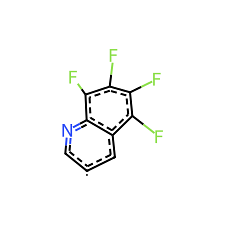 Fc1c(F)c(F)c2nc[c]cc2c1F